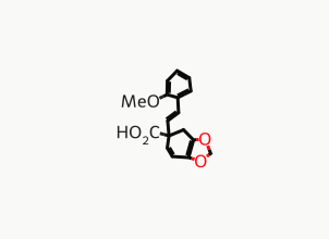 COc1ccccc1C=CC1(C(=O)O)C=CC2=C(C1)OCO2